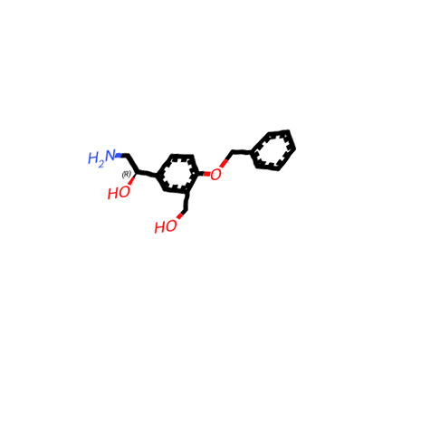 NC[C@H](O)c1ccc(OCc2ccccc2)c(CO)c1